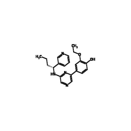 CCC[C@@H](Nc1cncc(-c2ccc(O)c(OCC)c2)n1)c1cccnc1